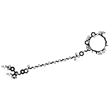 CO[C@H]1CC2CCCC(O2)C(=O)C(=O)N2CCCC[C@H]2C(=O)O[C@H](C[C@H](O)CC[C@H]2CC[C@H](OC(=O)NCCOCCOCCOCCOCCOCCOCCOCCOCCC(=O)N3CCc4cc(Cn5nc(-c6ccc7oc(N)nc7c6)c6c(N)ncnc65)ccc4C3)CC2)[C@H](C)/C=C(\C)[C@@H](O)CC(=O)[C@H](C)C[C@H](C)/C=C/C=C/C=C/1C